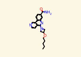 CCCCCOC1CN(c2nc3cc(C(N)=O)ccc3c3cnccc23)C1